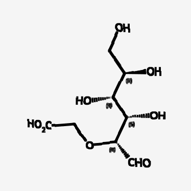 O=C[C@H](OCC(=O)O)[C@@H](O)[C@H](O)[C@H](O)CO